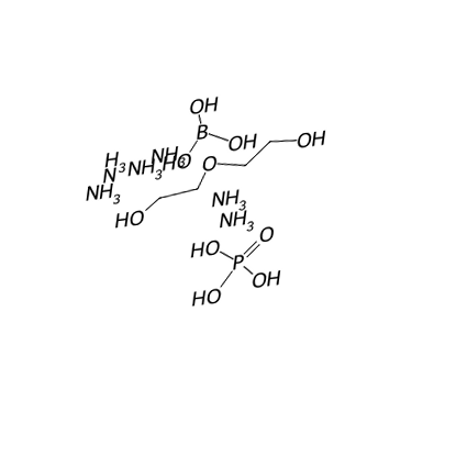 N.N.N.N.N.N.O=P(O)(O)O.OB(O)O.OCCOCCO